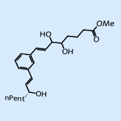 CCCCC[C@@H](O)C=Cc1cccc(C=CC(O)C(O)CCCC(=O)OC)c1